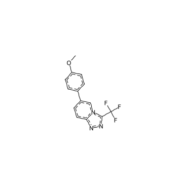 COc1ccc(-c2ccc3nnc(C(F)(F)F)n3c2)cc1